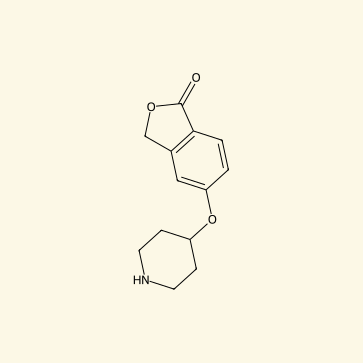 O=C1OCc2cc(OC3CCNCC3)ccc21